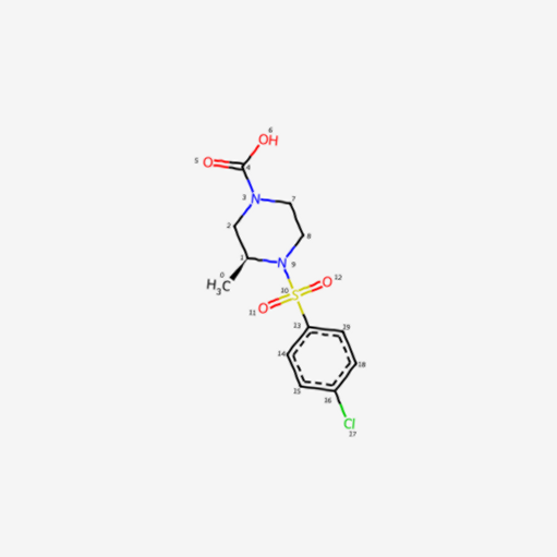 C[C@H]1CN(C(=O)O)CCN1S(=O)(=O)c1ccc(Cl)cc1